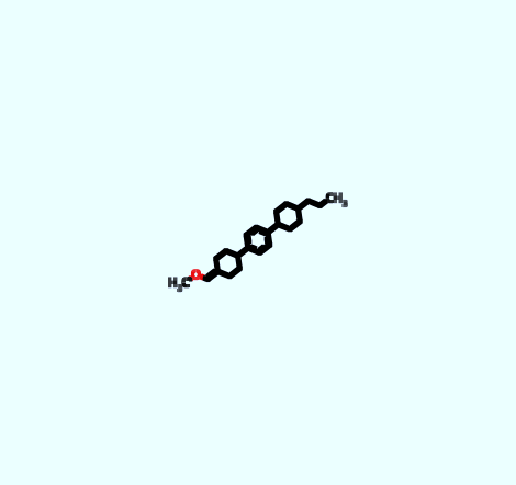 CCCC1CCC(c2ccc(C3CCC(=COC)CC3)cc2)CC1